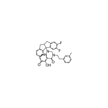 Cc1cccc(CCN2CN(C34c5ccccc5CC3Cc3cc(F)c(F)cc34)n3ccc(=O)c(O)c3C2=O)c1